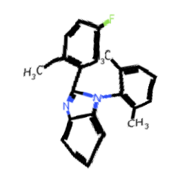 Cc1ccc(F)cc1-c1nc2ccccc2n1-c1c(C)cccc1C